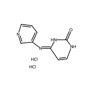 Cl.Cl.O=c1[nH]ccc(=Nc2cccnc2)[nH]1